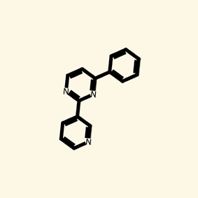 c1ccc(-c2ccnc(-c3cccnc3)n2)cc1